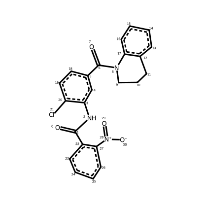 O=C(Nc1cc(C(=O)N2CCCc3ccccc32)ccc1Cl)c1ccccc1[N+](=O)[O-]